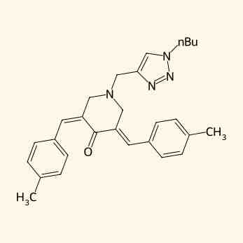 CCCCn1cc(CN2C/C(=C/c3ccc(C)cc3)C(=O)/C(=C/c3ccc(C)cc3)C2)nn1